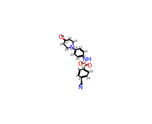 N#Cc1ccc(S(=O)(=O)Nc2ccc(N3CCC(=O)CC3)cc2)cc1